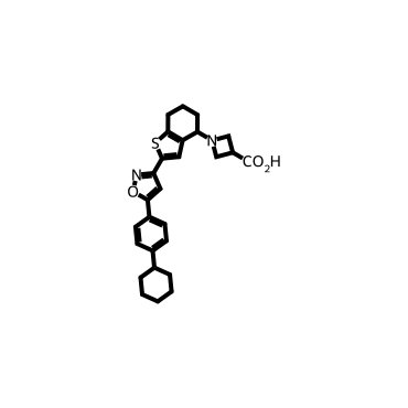 O=C(O)C1CN(C2CCCc3sc(-c4cc(-c5ccc(C6CCCCC6)cc5)on4)cc32)C1